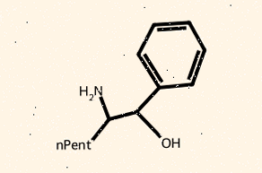 CCCCCC(N)C(O)c1ccccc1